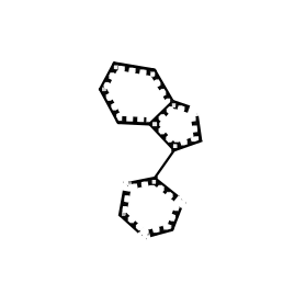 [c]1oc2ccccc2c1-c1ncncn1